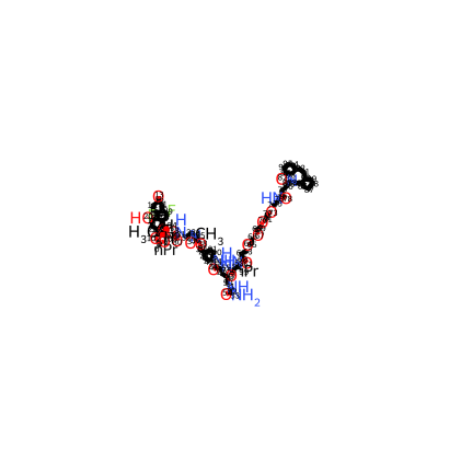 CCCC1O[C@@H]2C[C@H]3[C@@H]4C[C@H](F)C5=CC(=O)C=CC5[C@@]4(F)[C@@H](O)C[C@]3(C)[C@]2(C(=O)COC(=O)NCCN(C)C(=O)OCc2ccc(NC(=O)[C@H](CCCNC(N)=O)NC(=O)[C@@H](NC(=O)CCOCCOCCOCCOCCNC(=O)CCC(=O)N3Cc4ccccc4/C=C\c4ccccc43)C(C)C)cc2)O1